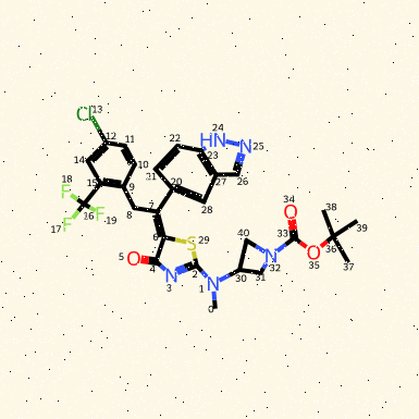 CN(C1=NC(=O)C(=C(Cc2ccc(Cl)cc2C(F)(F)F)c2ccc3[nH]ncc3c2)S1)C1CN(C(=O)OC(C)(C)C)C1